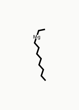 CCCCCCC[CH2][Mg][CH2]C